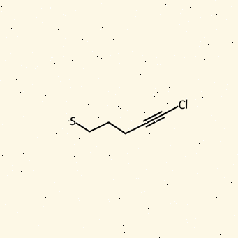 [S]CCCC#CCl